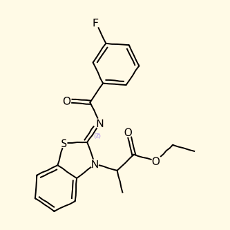 CCOC(=O)C(C)n1/c(=N/C(=O)c2cccc(F)c2)sc2ccccc21